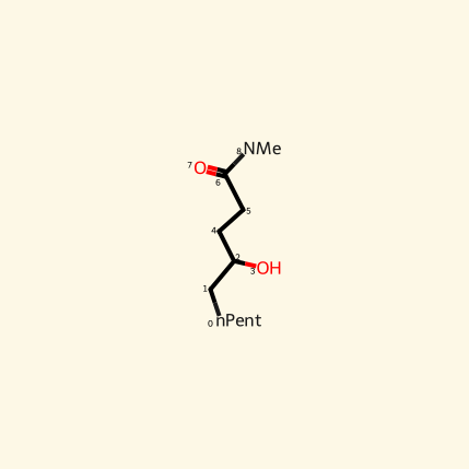 CCCCCCC(O)CCC(=O)NC